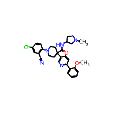 COc1ccccc1-c1ccc(C2(C(=O)NC3CCN(C)C3)CCN(c3ccc(Cl)cc3C#N)CC2)cn1